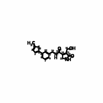 Cc1ccc(-c2cccc(CNC(=O)C3=C(CO)C(=O)NC3)c2)s1